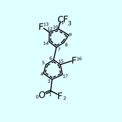 O=C(F)c1ccc(-c2ccc(C(F)(F)F)c(F)c2)c(F)c1